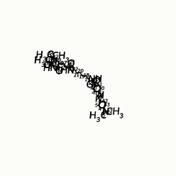 CN(C)c1ccc(N=Nc2ccc(S(=O)(=O)NCCCCCCNC(=O)/C=C/c3cn(C(C)(C)C)c(=O)[nH]c3=O)cc2)cc1